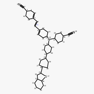 N#CC1CC=C(/C=C/C2=CCC(N(C3CCC(C#N)CC3)C3CCC(C4CCC(C5CC6CCCCC6S5)CC4)CC3)CC2)CC1